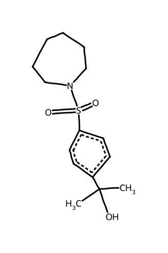 CC(C)(O)c1ccc(S(=O)(=O)N2CCCCCC2)cc1